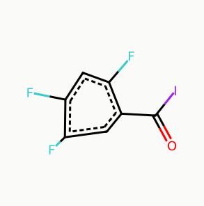 O=C(I)c1cc(F)c(F)cc1F